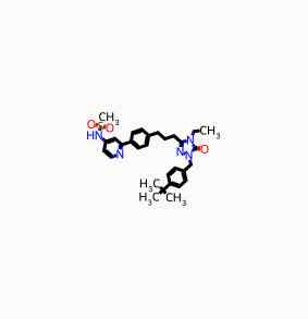 CCn1c(CCCc2ccc(-c3cc(NS(C)(=O)=O)ccn3)cc2)nn(Cc2ccc(C(C)(C)C)cc2)c1=O